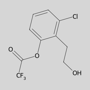 O=C(Oc1cccc(Cl)c1CCO)C(F)(F)F